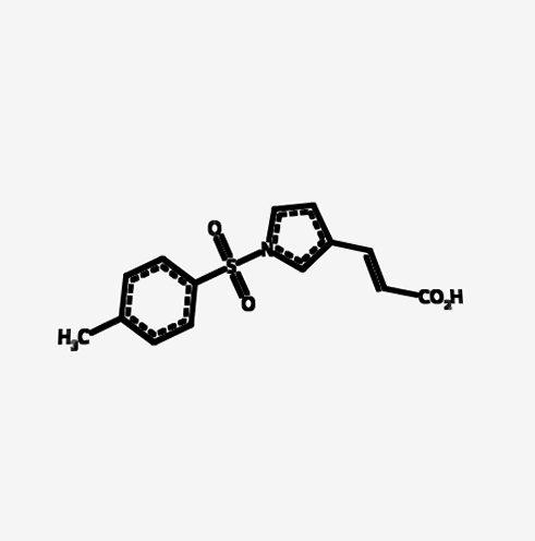 Cc1ccc(S(=O)(=O)n2ccc(C=CC(=O)O)c2)cc1